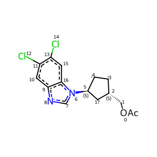 CC(=O)OC[C@H]1[CH][CH][C@H](n2cnc3cc(Cl)c(Cl)cc32)C1